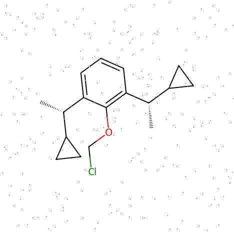 C[C@H](c1cccc([C@@H](C)C2CC2)c1OCCl)C1CC1